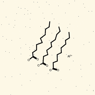 CCCCCCCCCC(=O)[O-].CCCCCCCCCC(=O)[O-].CCCCCCCCCC(=O)[O-].[Al+3]